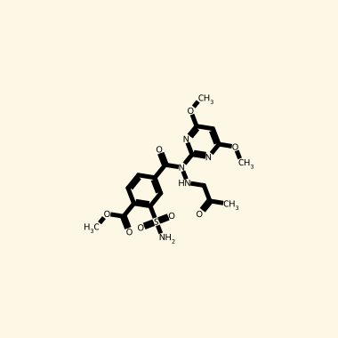 COC(=O)c1ccc(C(=O)N(NCC(C)=O)c2nc(OC)cc(OC)n2)cc1S(N)(=O)=O